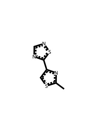 Cc1nc(-c2ncns2)cs1